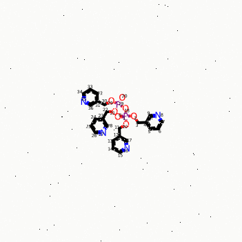 O=P(OCc1cccnc1)(OCc1cccnc1)OP(=O)(OCc1cccnc1)OCc1cccnc1